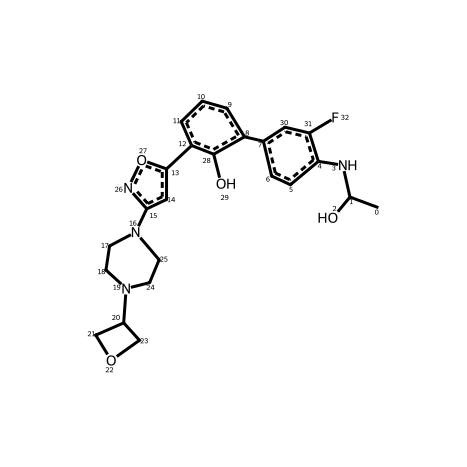 CC(O)Nc1ccc(-c2cccc(-c3cc(N4CCN(C5COC5)CC4)no3)c2O)cc1F